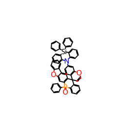 O=P1(c2ccccc2)c2ccccc2C2(c3ccccc3Oc3cc(N4c5ccccc5[Si](c5ccccc5)(c5ccccc5)c5ccccc54)ccc32)c2cc3c(cc21)oc1ccccc13